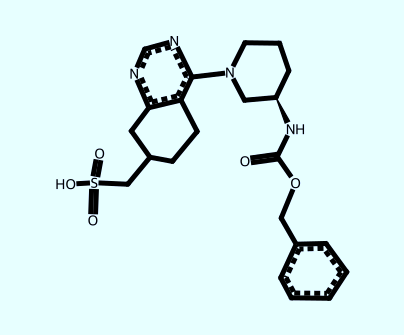 O=C(N[C@@H]1CCCN(c2ncnc3c2CCC(CS(=O)(=O)O)C3)C1)OCc1ccccc1